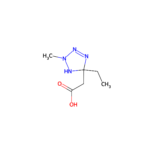 CCC1(CC(=O)O)N=NN(C)N1